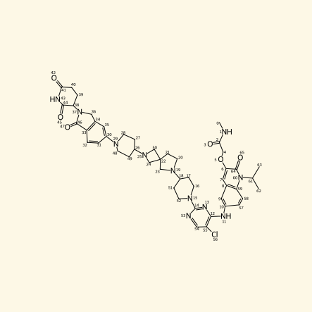 CNC(=O)COc1cc2cc(Nc3nc(N4CCC(N5CCC6(C5)CN(C5CCN(c7ccc8c(c7)CN(C7CCC(=O)NC7=O)C8=O)CC5)C6)CC4)ncc3Cl)ccc2n(C(C)C)c1=O